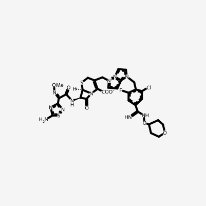 CO/N=C(\C(=O)N[C@@H]1C(=O)N2C(C(=O)[O-])=C(C[n+]3ccc4n(Cc5c(F)cc(C(=N)NOC6CCOCC6)cc5Cl)ccn43)CS[C@H]12)c1nsc(N)n1